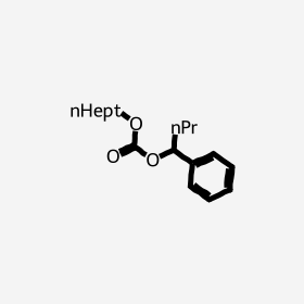 CCCCCCCOC(=O)OC(CCC)c1ccccc1